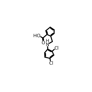 O=C(O)c1ccccc1CNc1ccc(Cl)cc1Cl